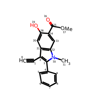 C#Cc1c(-c2ccccc2)n(C)c2cc(C(=O)OC)c(O)cc12